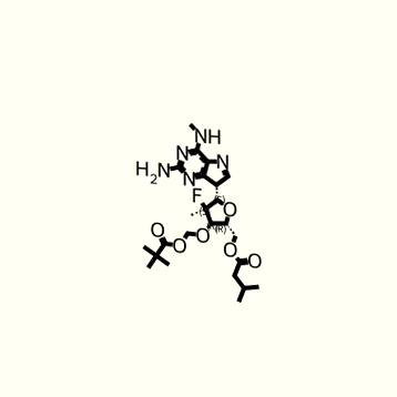 CNc1nc(N)nc2c1N=CC2[C@@H]1O[C@H](COC(=O)CC(C)C)[C@@H](OCOC(=O)C(C)(C)C)[C@@]1(C)F